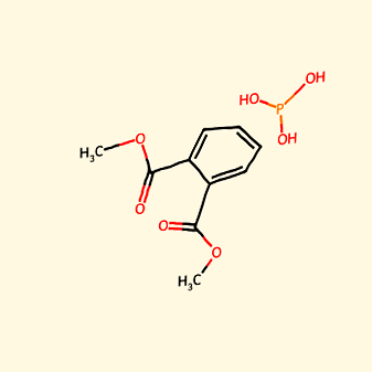 COC(=O)c1ccccc1C(=O)OC.OP(O)O